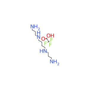 NCCCNCCCCNCCCN.O=C(O)C(F)(F)F